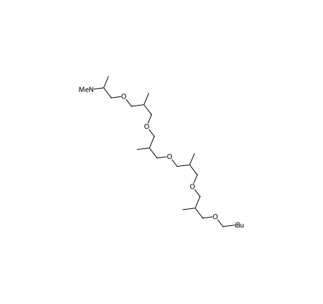 CCC(C)COCC(C)COCC(C)COCC(C)COCC(C)COCC(C)NC